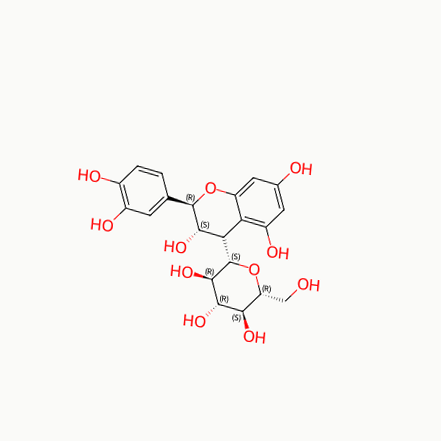 OC[C@H]1O[C@@H](C2c3c(O)cc(O)cc3O[C@H](c3ccc(O)c(O)c3)[C@H]2O)[C@H](O)[C@@H](O)[C@@H]1O